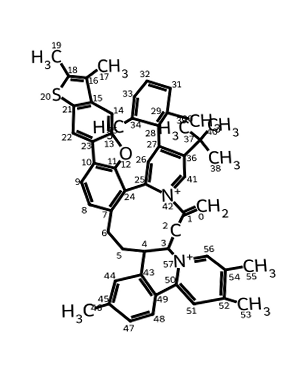 C=C1CC2C(CCc3ccc4c(oc5cc6c(C)c(C)sc6cc54)c3-c3cc(-c4c(C)cccc4C)c(C(C)(C)C)c[n+]31)c1cc(C)ccc1-c1cc(C)c(C)c[n+]12